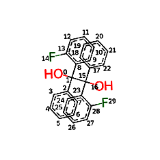 OC(c1ccccc1)(c1ccccc1F)C(O)(c1ccccc1)c1ccccc1F